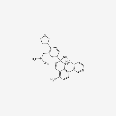 Cc1ccncc1-c1ccc(N)c2c1NC(N)(c1ccc(C3CCOC3)c(CN(C)C)c1)N=C2